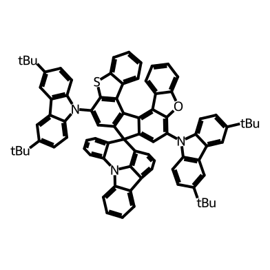 CC(C)(C)c1ccc2c(c1)c1cc(C(C)(C)C)ccc1n2-c1cc2c(c3c1oc1ccccc13)-c1c(cc(-n3c4ccc(C(C)(C)C)cc4c4cc(C(C)(C)C)ccc43)c3sc4ccccc4c13)C21c2ccccc2-n2c3ccccc3c3cccc1c32